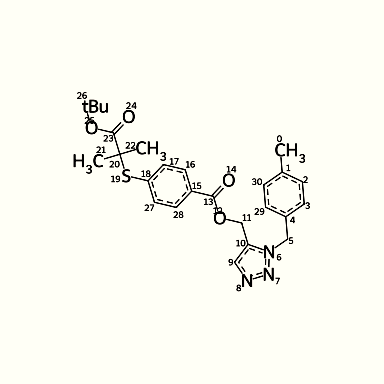 Cc1ccc(Cn2nncc2COC(=O)c2ccc(SC(C)(C)C(=O)OC(C)(C)C)cc2)cc1